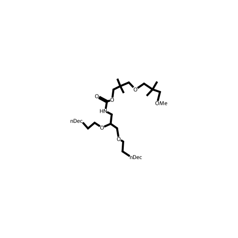 CCCCCCCCCCCCOCC(CNC(=O)OCC(C)(C)COCC(C)(C)COC)OCCCCCCCCCCCC